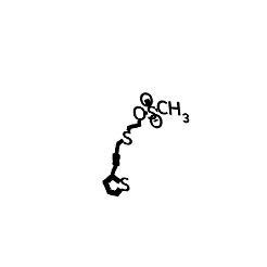 CS(=O)(=O)OCCSCC#Cc1cccs1